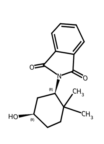 CC1(C)CC[C@@H](O)C[C@H]1N1C(=O)c2ccccc2C1=O